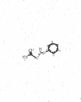 NC(=O)OBOc1ccccc1